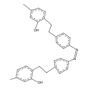 Cc1ccc(CCc2ccc(/N=N\c3ccc(CCc4ccc(C)cc4O)cc3)cc2)c(O)c1